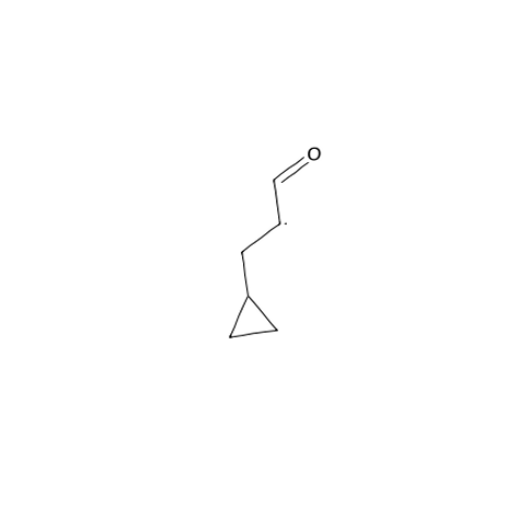 O=C[CH]CC1CC1